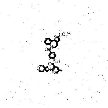 Cc1cnc(N2CC3(CCOCC3)C2)c(C(=O)Nc2ccc(C(=O)N3CCc4cc(C(=O)O)sc4-c4ccccc43)cc2)c1